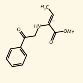 C/C=C(\NCC(=O)c1ccccc1)C(=O)OC